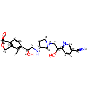 Cc1c([C@H](O)CN[C@@H]2CCN(CC(O)c3ccc(C#N)cn3)C2)ccc2c1COC2=O